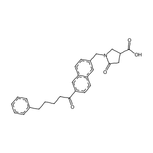 O=C(CCCCc1ccccc1)c1ccc2cc(CN3CC(C(=O)O)CC3=O)ccc2c1